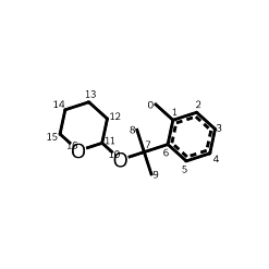 Cc1ccccc1C(C)(C)OC1CCCCO1